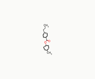 CCCc1ccc(C(=O)Oc2ccc(C)cc2)cc1